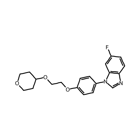 Fc1ccc2ncn(-c3ccc(OCCOC4CCOCC4)cc3)c2c1